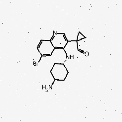 N[C@H]1CC[C@H](Nc2c(C3(C=O)CC3)cnc3ccc(Br)cc23)CC1